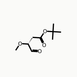 CO[C@@H](C=O)CC(=O)OC(C)(C)C